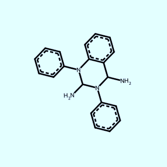 NC1c2ccccc2N(c2ccccc2)C(N)N1c1ccccc1